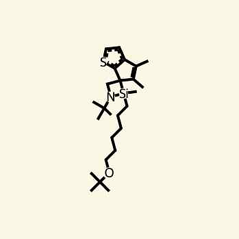 CC1=C(C)C2(CN(C(C)(C)C)[Si]2(C)CCCCCCOC(C)(C)C)c2sccc21